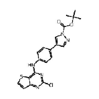 CC(C)(C)OC(=O)n1cc(-c2ccc(Nc3nc(Cl)nc4ccsc34)cc2)cn1